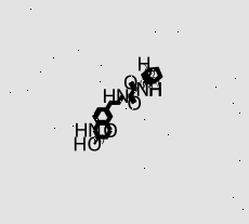 O=C(NCCc1ccc2c(c1)OC[C@@H](O)N2)C(=O)N[C@@H]1C[C@H]2CC[C@@H]1C2